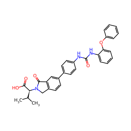 CC(C)[C@@H](C(=O)O)N1Cc2ccc(-c3ccc(NC(=O)Nc4ccccc4Oc4ccccc4)cc3)cc2C1=O